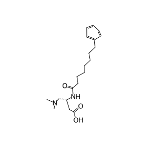 CN(C)C[C@@H](CC(=O)O)NC(=O)CCCCCCCc1ccccc1